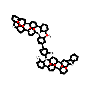 Cc1cc(-c2ccc(N(c3ccc(-c4ccc5oc6ccccc6c5c4)cc3)c3c(C)cccc3-c3ccc(-c4ccccc4)cc3)c(C)c2)ccc1N(c1ccc(-c2ccc3oc4ccccc4c3c2)cc1)c1c(C)cccc1-c1ccc(-c2ccccc2)cc1